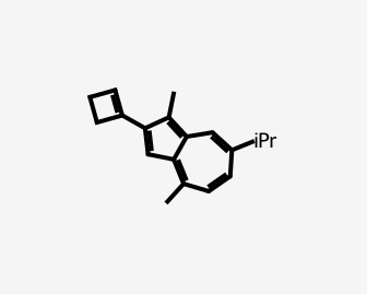 Cc1ccc(C(C)C)cc2c(C)c(C3=CCC3)cc1-2